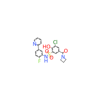 O=C(c1cc(Cl)c(O)c(S(=O)(=O)Nc2cc(-c3ccccn3)ccc2F)c1)N1CCC1